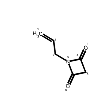 C=CCN1C(=O)CC1=O